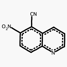 N#Cc1c([N+](=O)[O-])ccc2ncccc12